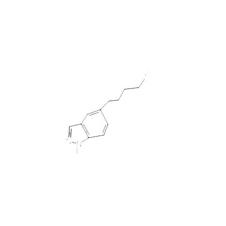 CCCCCc1ccc2[nH]ncc2c1